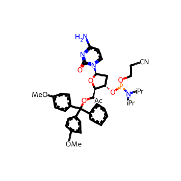 COc1ccc(C(OC(C(C)=O)[C@H]2O[C@@H](n3ccc(N)nc3=O)C[C@@H]2OP(OCCC#N)N(C(C)C)C(C)C)(c2ccccc2)c2ccc(OC)cc2)cc1